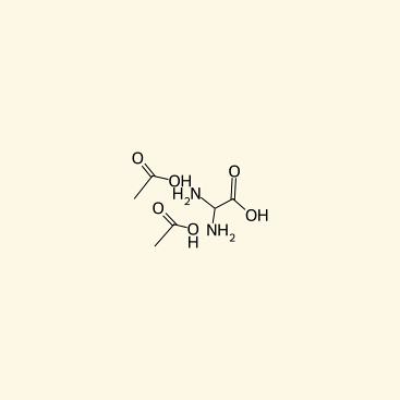 CC(=O)O.CC(=O)O.NC(N)C(=O)O